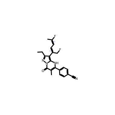 CCc1nn2c(=O)c(C)c(-c3ccc(C#N)cc3)[nH]c2c1/C(=C/C=C(\C)F)CF